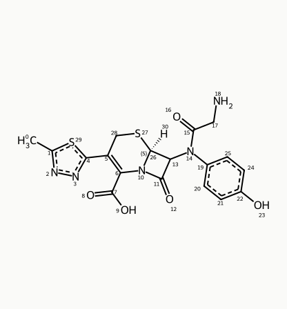 Cc1nnc(C2=C(C(=O)O)N3C(=O)C(N(C(=O)CN)c4ccc(O)cc4)[C@@H]3SC2)s1